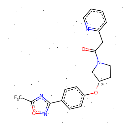 O=C(Cc1ccccn1)N1CC[C@H](Oc2ccc(-c3noc(C(F)(F)F)n3)cc2)C1